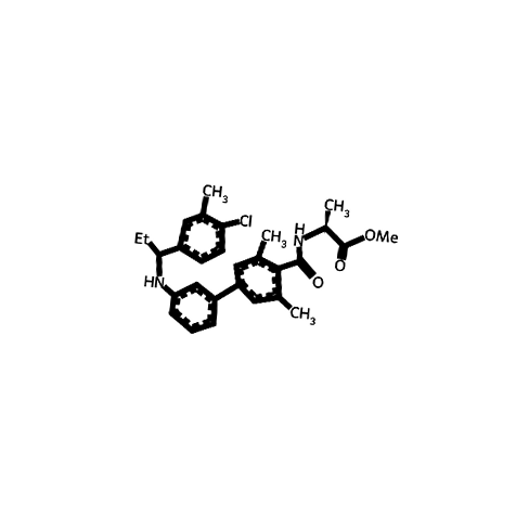 CCC(Nc1cccc(-c2cc(C)c(C(=O)N[C@@H](C)C(=O)OC)c(C)c2)c1)c1ccc(Cl)c(C)c1